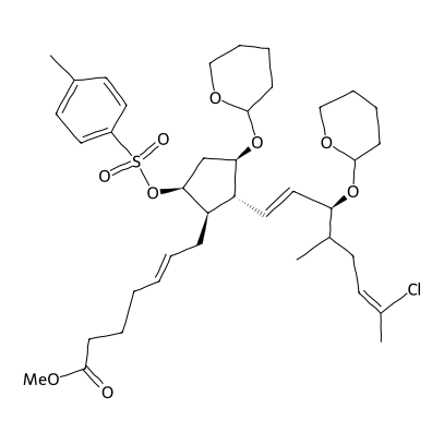 COC(=O)CCCC=CC[C@@H]1[C@@H](C=C[C@@H](OC2CCCCO2)C(C)CC=C(C)Cl)[C@H](OC2CCCCO2)C[C@@H]1OS(=O)(=O)c1ccc(C)cc1